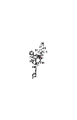 CC(=O)O[C@@]12COC1C[C@H](OC(=O)CCCN1CCN(C)CC1)C1(C)C(=O)[C@H](O)C3=C(C)[C@@H](OC(=O)C(O)[C@H](P)NC(=O)OC(C)(C)C)CC(O)([C@@H](OC(=O)c4ccccc4)C12)C3(C)C